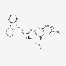 CC(C)C[C@H](NC(=O)[C@H](CCN)NC(=O)OCC1c2ccccc2-c2ccccc21)C(=O)O